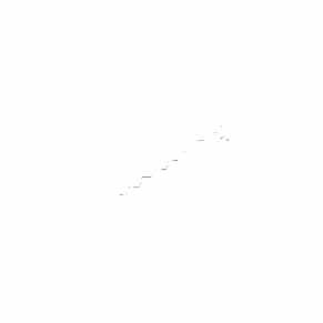 CCCCCCCCCCCCSCCOP(O)O